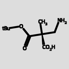 CC(C)(C)OC(=O)[C@](C)(CN)C(=O)O